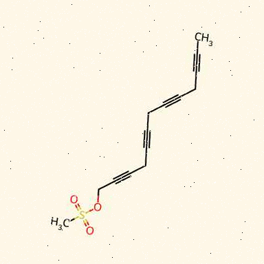 CC#CCC#CCC#CCC#CCOS(C)(=O)=O